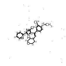 CSc1ccc(/C(=C/C2CCOCC2)c2[nH]c(-c3ccccn3)nc2Cl)cc1Cl